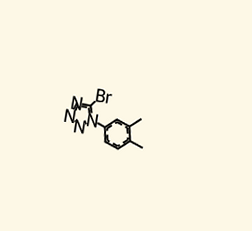 Cc1ccc(-n2nnnc2Br)cc1C